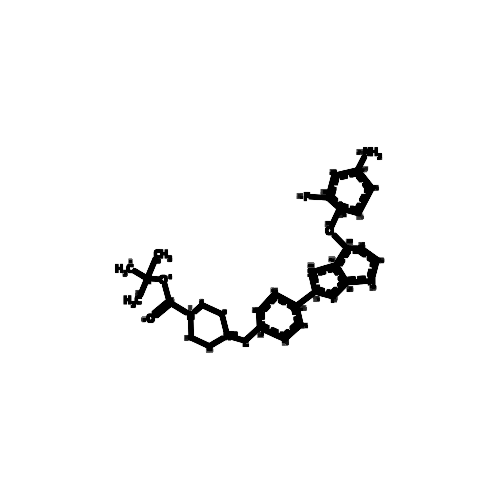 CC(C)(C)OC(=O)N1CCN(Cc2ccc(-c3cc4nccc(Oc5ccc(N)cc5F)c4s3)cc2)CC1